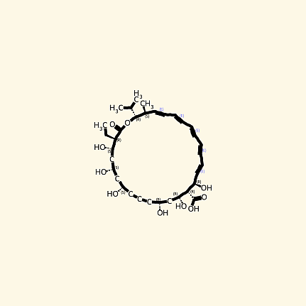 CC[C@H]1C(=O)O[C@H](C(C)C)[C@@H](C)/C=C/C=C/C=C/C=C/C=C/[C@@H](O)[C@H](C(=O)O)[C@H](O)C[C@H](O)CCC[C@H](O)C[C@H](O)C[C@@H]1O